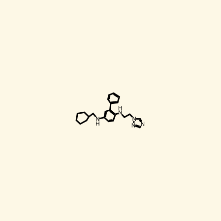 c1ccc(-c2cc(NCC3CCCCC3)ccc2NCCn2cncn2)cc1